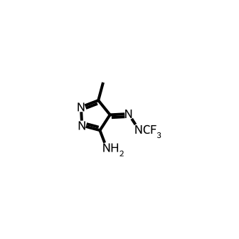 CC1=NN=C(N)C1=NNC(F)(F)F